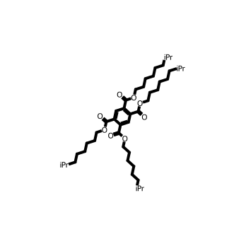 CC(C)CCCCCCOC(=O)c1cc(C(=O)OCCCCCCC(C)C)c(C(=O)OCCCCCCC(C)C)cc1C(=O)OCCCCCCC(C)C